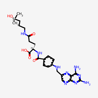 C[Si](C)(O)CCCNC(=O)CC[C@H](NC(=O)c1ccc(NCc2cnc3nc(N)nc(N)c3n2)cc1)C(=O)O